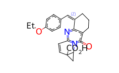 CCOc1ccc(/C=C2/CCCc3c2nc2n(c3=O)C3CC3(C(=O)O)C=C2)cc1